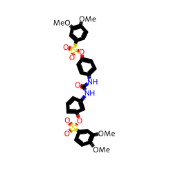 COc1ccc(S(=O)(=O)Oc2ccc(NC(=O)Nc3cccc(OS(=O)(=O)c4ccc(OC)c(OC)c4)c3)cc2)cc1OC